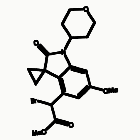 COC(=O)C(Br)c1cc(OC)cc2c1C1(CC1)C(=O)N2C1CCOCC1